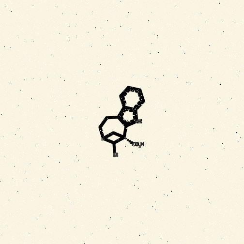 CCC1N2CCc3c([nH]c4ccccc34)[C@]1(C(=O)O)C2